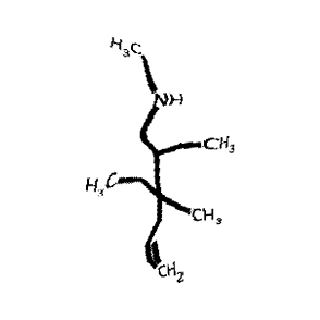 C=CC(C)(C)C(C)CNC